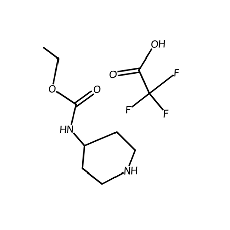 CCOC(=O)NC1CCNCC1.O=C(O)C(F)(F)F